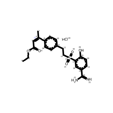 CCOC(=O)/C=C(/C)c1ccc(CCS(=O)(=O)c2cc(C(=N)N)ccc2O)cc1.Cl